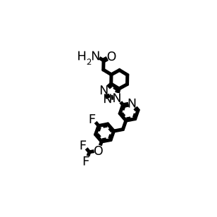 NC(=O)CC1CCCc2c1nnn2-c1cc(Cc2cc(F)cc(OC(F)F)c2)ccn1